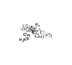 C[C@H](NP(=O)(OC[C@@]1(C)O[C@@H](c2ccc3c(N)ncnn23)[C@H](O)[C@@H]1O)Oc1ccccc1)C(=O)O[C@H]1CC[C@H](C(C)(C)C)CC1